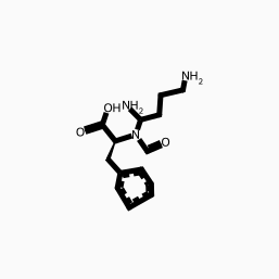 NCCCC(N)N(C=O)[C@@H](Cc1ccccc1)C(=O)O